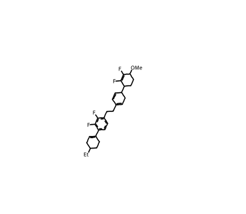 CCC1CC=C(c2ccc(CCC3=CCC(C4CCC(OC)C(F)=C4F)C=C3)c(F)c2F)CC1